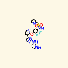 O=S(=O)(Cc1ccccn1)Nc1ccc(Oc2ncccc2-c2ccnc(NC3CCCNC3)n2)c(F)c1F